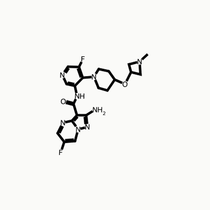 CN1CC(OC2CCN(c3c(F)cncc3NC(=O)c3c(N)nn4cc(F)cnc34)CC2)C1